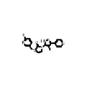 Cc1c(-c2ccncc2)n[nH]c1N1CC[C@@H](Cc2ccc(F)nc2)C1=O